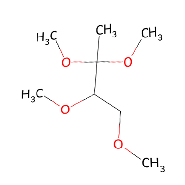 COCC(OC)C(C)(OC)OC